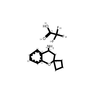 NC1CC2(CCC2)Oc2ccccc21.O=C(O)C(F)(F)F